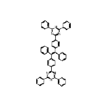 c1ccc(/C(=C(/c2ccccc2)c2ccc(-c3nc(-c4ccccc4)nc(-c4ccccc4)n3)cc2)c2ccc(-c3nc(-c4ccccc4)nc(-c4ccccc4)n3)cc2)cc1